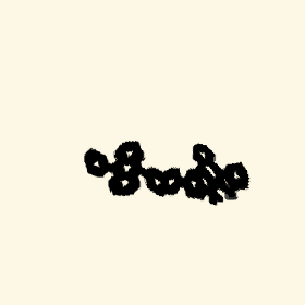 CC1(C)c2ccc(-c3ccc4cc(-c5c6ccccc6c(-c6ccccc6)c6ccccc56)ccc4c3)cc2-c2c1c1sc3ccccc3c1c1ccccc21